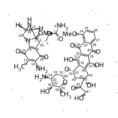 CO[C@@]12[C@H](COC(N)=O)C3=C(C(=O)C(C)=C(N)C3=O)N1C[C@@H]1N[C@@H]12.COc1cccc2c1C(=O)c1c(O)c3c(c(O)c1C2=O)C[C@@](O)(C(=O)CO)C[C@@H]3O[C@H]1C[C@H](N)[C@H](O)[C@H](C)O1